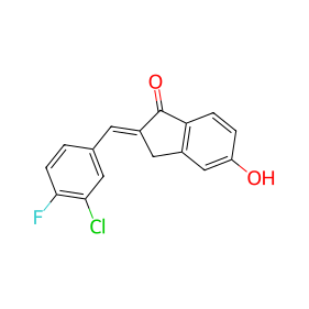 O=C1/C(=C/c2ccc(F)c(Cl)c2)Cc2cc(O)ccc21